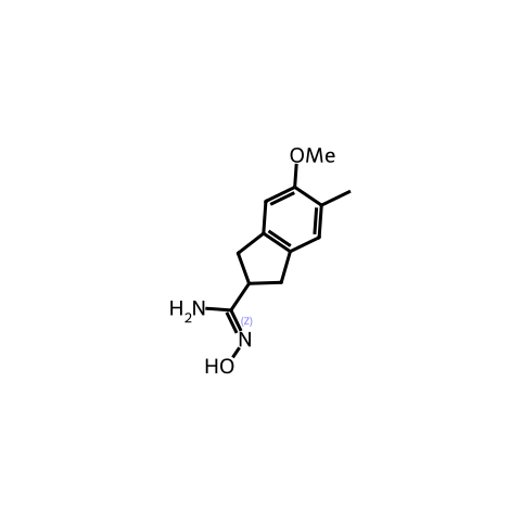 COc1cc2c(cc1C)CC(/C(N)=N/O)C2